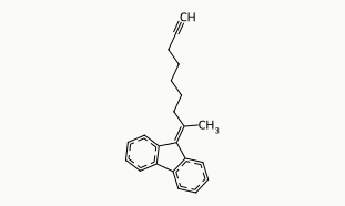 C#CCCCCCC(C)=C1c2ccccc2-c2ccccc21